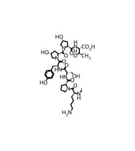 C[C@@H](O)[C@H](NC(=O)[C@@H]1C[C@@H](O)CN1C(=O)[C@@H]1C[C@@H](O)CN1C(=O)[C@H](Cc1ccc(O)cc1)NC(=O)[C@H](CO)NC(=O)[C@@H]1CCCN1C(=O)[C@H](CCCCN)NI)C(=O)O